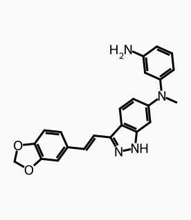 CN(c1cccc(N)c1)c1ccc2c(C=Cc3ccc4c(c3)OCO4)n[nH]c2c1